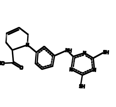 O=C(O)C1CC=CCN1c1cccc(Nc2nc(S)nc(S)n2)c1